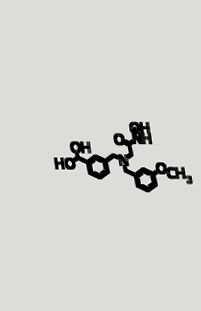 COc1cccc(CN(CC(=O)NO)Cc2cccc(C(O)O)c2)c1